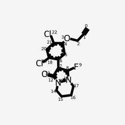 C#CCOc1cc(-c2c(F)n3n(c2=O)CCCC3)c(Cl)cc1Cl